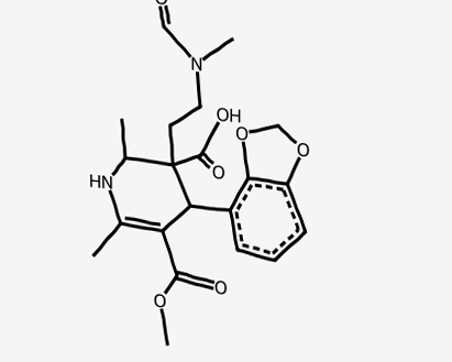 COC(=O)C1=C(C)NC(C)C(CCN(C)C=O)(C(=O)O)C1c1cccc2c1OCO2